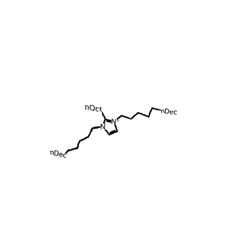 CCCCCCCCCCCCCCCn1cc[n+](CCCCCCCCCCCCCCC)c1CCCCCCCC